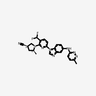 Cc1ccc(Nc2ccc3c(c2)ncn3-c2ccc(C(F)F)c(N3C[C@H](C#N)C[C@@H]3C)n2)nn1